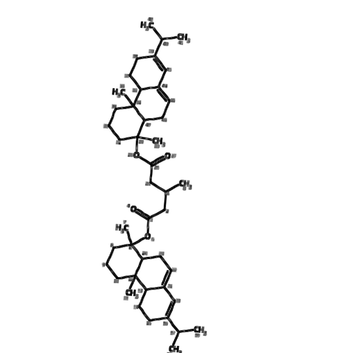 CC(CC(=O)OC1(C)CCCC2(C)C3CCC(C(C)C)=CC3=CCC12)CC(=O)OC1(C)CCCC2(C)C3CCC(C(C)C)=CC3=CCC12